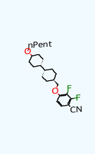 CCCCCO[C@H]1CC[C@H]([C@H]2CC[C@H](COc3ccc(C#N)c(F)c3F)CC2)CC1